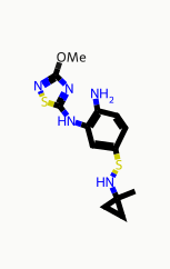 COc1nsc(Nc2cc(SNC3(C)CC3)ccc2N)n1